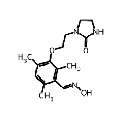 Cc1cc(C)c(OCCN2CCNC2=O)c(C)c1C=NO